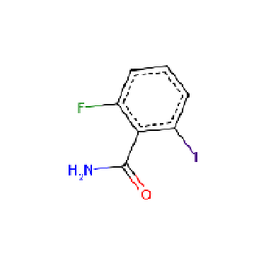 NC(=O)c1c(F)cccc1I